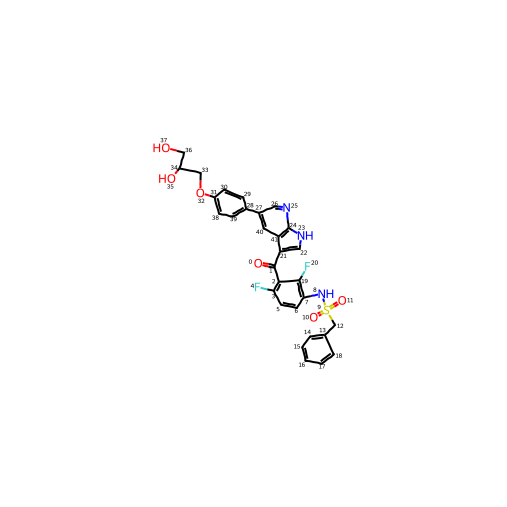 O=C(c1c(F)ccc(NS(=O)(=O)Cc2ccccc2)c1F)c1c[nH]c2ncc(-c3ccc(OCC(O)CO)cc3)cc12